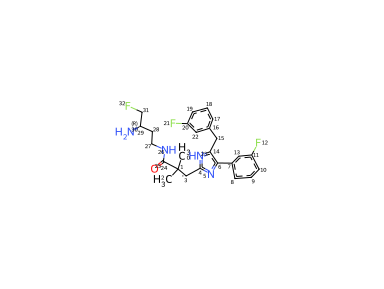 CC(C)([CH]c1nc(-c2cccc(F)c2)c(Cc2cccc(F)c2)[nH]1)C(=O)NCC[C@@H](N)CF